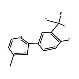 Cc1ccnc(-c2ccc(F)c(C(F)(F)F)c2)c1